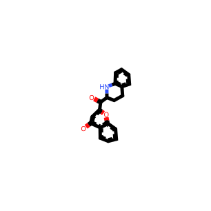 O=C(c1cc(=O)c2ccccc2o1)C1CCc2ccccc2N1